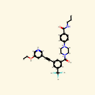 CCCNC(=O)c1ccc(N2CCN(C(=O)c3cc(C#Cc4cncc(OCC)c4)cc(C(F)(F)F)c3)CC2)cc1